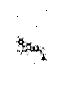 NC(=O)C1C2Cc3cc(C(=O)OCC4CC4)cnc3N2CCN1Cc1ccc(F)cc1